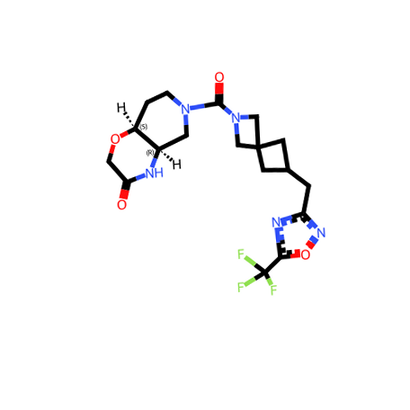 O=C1CO[C@H]2CCN(C(=O)N3CC4(CC(Cc5noc(C(F)(F)F)n5)C4)C3)C[C@H]2N1